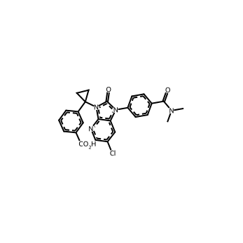 CN(C)C(=O)c1ccc(-n2c(=O)n(C3(c4cccc(C(=O)O)c4)CC3)c3ncc(Cl)cc32)cc1